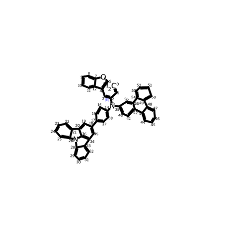 C=C/C(=C\c1coc2ccccc12)N(c1ccc(-c2cc3c4ccccc4n4c5ccccc5c(c2)c34)cc1)c1ccc2c3ccccc3c3ccccc3c2c1